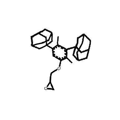 Cc1c(OCC2CO2)cc(C23CC4CC(CC(C4)C2)C3)c(C)c1C12CC3CC(CC(C3)C1)C2